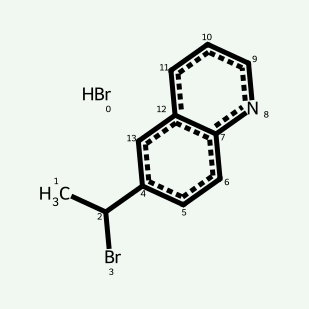 Br.CC(Br)c1ccc2ncccc2c1